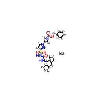 O=C(Nc1c2c(cc3c1CCC3)CCC2)NS(=O)(=O)c1ccn(C2CN(C(=O)OCc3ccccc3)C2)n1.[Na]